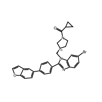 O=C(C1CC1)N1CC[C@@H](Cn2c(-c3ccc(-c4ccc5occc5c4)cc3)nc3ccc(Br)cc32)C1